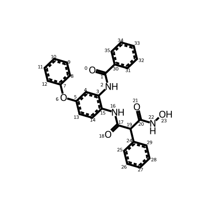 O=C(Nc1cc(Oc2ccccc2)ccc1NC(=O)C(C(=O)NO)c1ccccc1)c1ccccc1